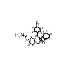 NCCN1CCC(Cc2nc3cccnc3n2Cc2ccc(F)cc2)CC1